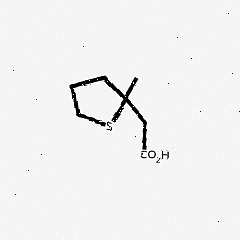 CC1(CC(=O)O)CCCS1